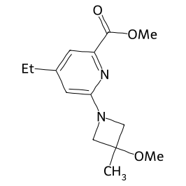 CCc1cc(C(=O)OC)nc(N2CC(C)(OC)C2)c1